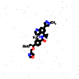 COC[C@H](OCc1cocn1)c1ccc(C(=O)NC2(c3cc(-c4cnn(C)c4)cc4ncccc34)CC2)c(C)c1